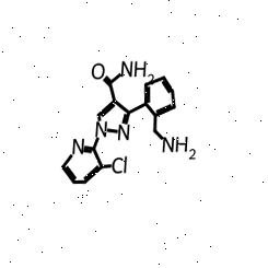 NCc1ccccc1-c1nn(-c2ncccc2Cl)cc1C(N)=O